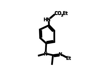 CCN=C(C)N(C)c1ccc(NC(=O)OCC)cc1